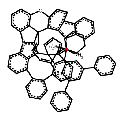 BC1(c2cccc3c2C2(C=CC=C2c2cc(-c4ccccc4)cc(-c4ccccc4)c2)c2c4n(c5cccc(c25)-c2ccccc2-3)-c2cccc3c2C42/C=C/C=C(C(C)(C)C)\C=C(/N)n4c5ccccc5c5ccc(c2c54)O3)CCCCC1